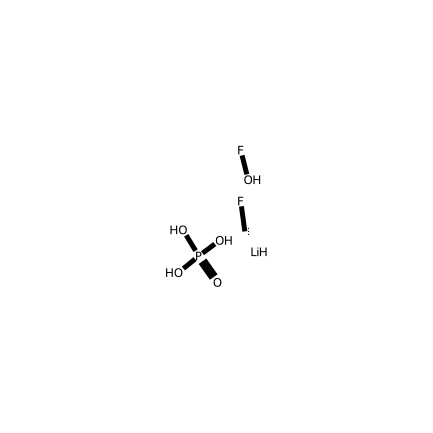 O=P(O)(O)O.OF.[C]F.[LiH]